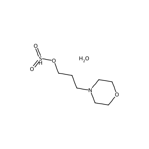 O.O=[SH](=O)OCCCN1CCOCC1